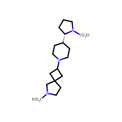 CCOC(=O)N1CCC2(CC(N3CCC([C@@H]4CCCN4C(=O)OCC)CC3)C2)C1